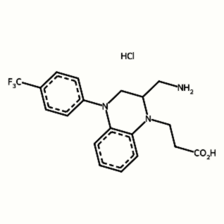 Cl.NCC1CN(c2ccc(C(F)(F)F)cc2)c2ccccc2N1CCC(=O)O